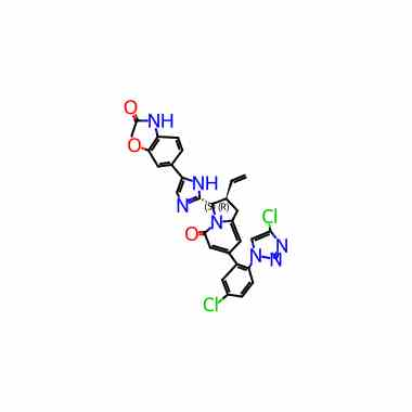 C=C[C@H]1Cc2cc(-c3cc(Cl)ccc3-n3cc(Cl)nn3)cc(=O)n2[C@@H]1c1ncc(-c2ccc3c(c2)OCC(=O)N3)[nH]1